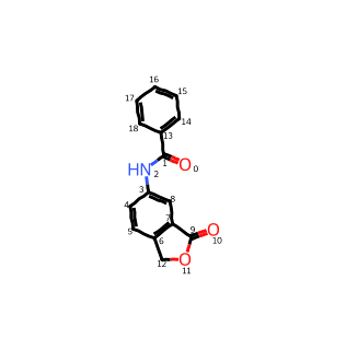 O=C(Nc1ccc2c(c1)C(=O)OC2)c1ccccc1